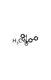 C[C@@H](CNC(=O)c1ccc(-c2ccccc2)cc1)c1ccccc1